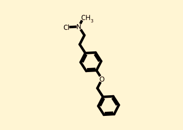 CN(Cl)CCc1ccc(OCc2ccccc2)cc1